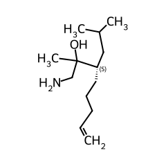 C=CCCC[C@@H](CC(C)C)C(C)(O)CN